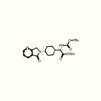 COC(=O)[C@@H](NC(=O)OC(C)(C)C)[C@H]1CC[C@H](N2Cc3ncccc3C2=O)CC1